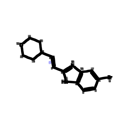 Brc1ccc2[nH]c(/C=C/C3CCOCC3)nc2c1